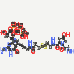 NCC(=O)N1C[C@H](O)C[C@H]1C(=O)NCCSSCCC(=O)NCC#Cc1cn([C@H]2C[C@@H](O)[C@@H](OP(=O)(O)OP(=O)(O)OP(=O)(O)O)O2)c2nc(N)[nH]c(=O)c12